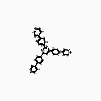 c1cc(-c2ccc(-c3cc(-c4ccc(-c5ccncc5)cc4)nc(-c4ccc(-c5ccncc5)cc4)n3)cc2)ccn1